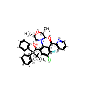 C[C@@H]1CN(c2c(C(O)[Si](c3ccccc3)(c3ccccc3)C(C)(C)C)cc(Cl)c(F)c2C(=O)c2ccccn2)C[C@H](C)O1